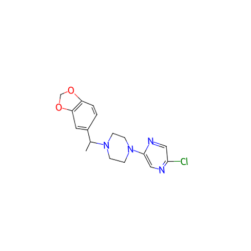 CC(c1ccc2c(c1)OCO2)N1CCN(c2cnc(Cl)cn2)CC1